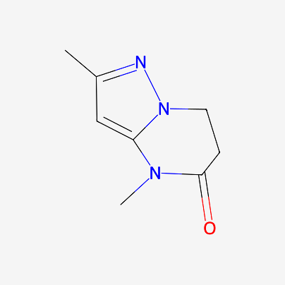 Cc1cc2n(n1)CCC(=O)N2C